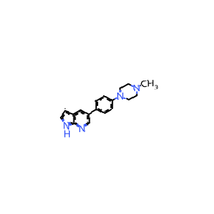 CN1CCN(c2ccc(-c3cnc4[nH]c[c]c4c3)cc2)CC1